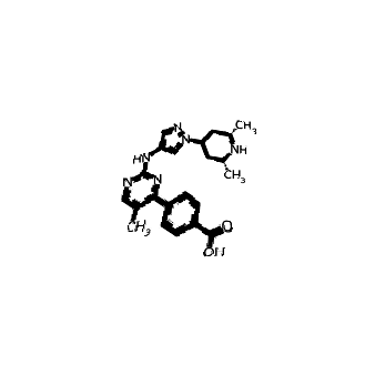 Cc1cnc(Nc2cnn(C3C[C@@H](C)N[C@@H](C)C3)c2)nc1-c1ccc(C(=O)O)cc1